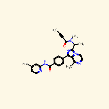 CC#CC(=O)N(C)C(C)c1nc(-c2ccc(C(=O)Nc3cc(CCC)ccn3)cc2)c2c(C)nccn12